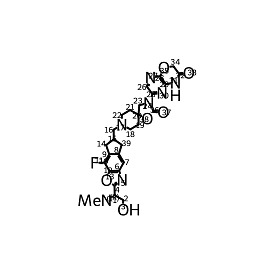 CN[C@H](CO)c1nc2cc3c(c(F)c2o1)CC(CN1CCC2(CC1)CN(c1cnc4c(n1)NC(=O)CO4)C(=O)O2)C3